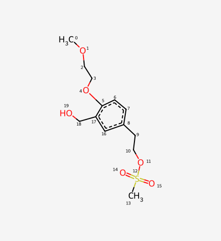 COCCOc1ccc(CCOS(C)(=O)=O)cc1CO